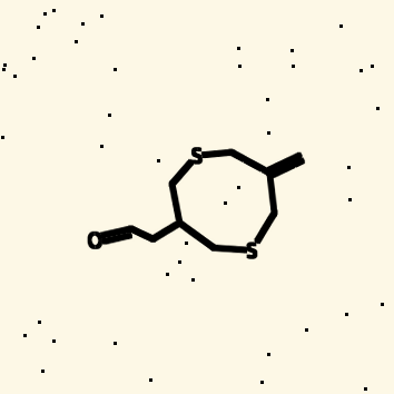 C=C1CSCC(CC=O)CSC1